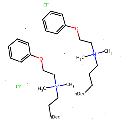 CCCCCCCCCCCCC[N+](C)(C)CCOc1ccccc1.CCCCCCCCCCCC[N+](C)(C)CCOc1ccccc1.[Cl-].[Cl-]